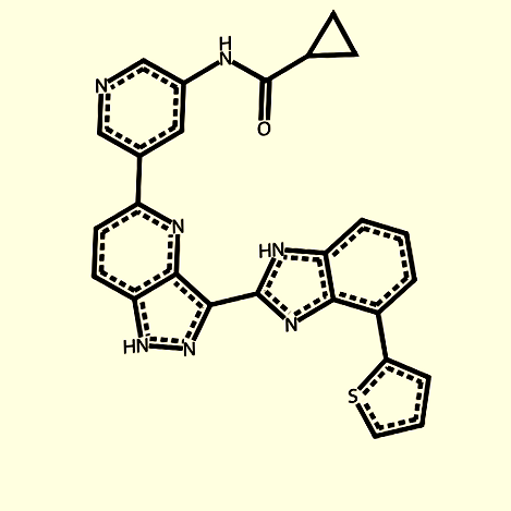 O=C(Nc1cncc(-c2ccc3[nH]nc(-c4nc5c(-c6cccs6)cccc5[nH]4)c3n2)c1)C1CC1